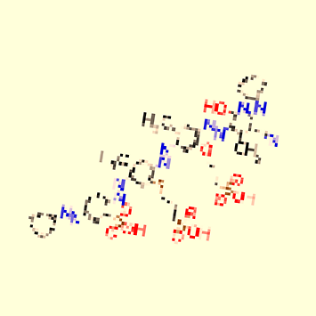 Cc1cc(N=Nc2c(C)c(C#N)c3nc4ccccc4n3c2O)c(OCCCS(=O)(=O)O)cc1N=Nc1cc(C)c(N=Nc2ccc(N=Nc3ccccc3)cc2S(=O)(=O)O)cc1SCCCS(=O)(=O)O